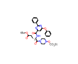 CCOC(=O)ON1CCN(C(=O)[C@H](CCC(=O)OC(C)(C)C)NC(=O)c2cc(Oc3ccccc3)nc(-c3ccccc3)n2)CC1